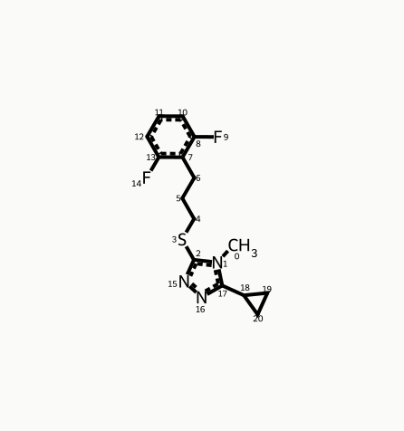 Cn1c(SCCCc2c(F)cccc2F)nnc1C1CC1